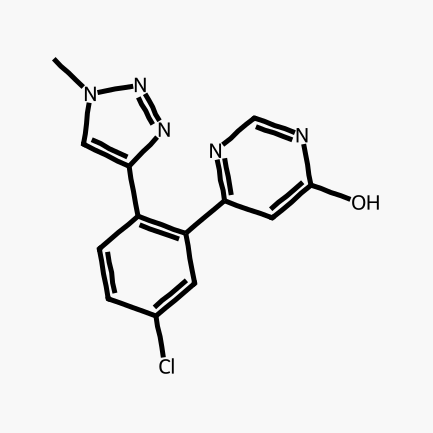 Cn1cc(-c2ccc(Cl)cc2-c2cc(O)ncn2)nn1